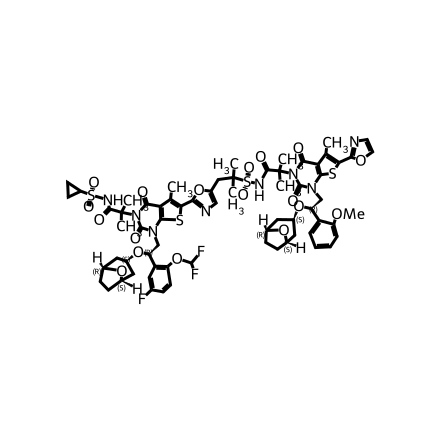 COc1ccccc1[C@H](Cn1c(=O)n(C(C)(C)C(=O)NS(=O)(=O)C(C)(C)Cc2cnc(-c3sc4c(c3C)c(=O)n(C(C)(C)C(=O)NS(=O)(=O)C3CC3)c(=O)n4C[C@H](O[C@@H]3C[C@H]4CC[C@@H](C3)O4)c3cc(F)ccc3OC(F)F)o2)c(=O)c2c(C)c(-c3ncco3)sc21)O[C@@H]1C[C@H]2CC[C@@H](C1)O2